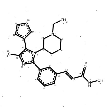 CCN1CCCC(n2c(-c3cccc(C=CC(=O)NO)c3)nc(C)c2-c2ccsc2)C1